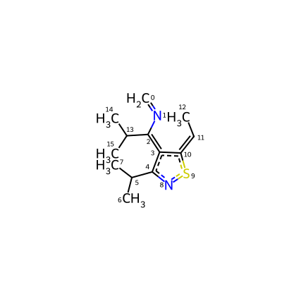 C=N/C(=c1/c(C(C)C)ns/c1=C/C)C(C)C